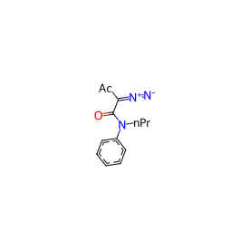 CCCN(C(=O)C(=[N+]=[N-])C(C)=O)c1ccccc1